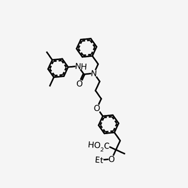 CCOC(C)(Cc1ccc(OCCCN(Cc2ccccc2)C(=O)Nc2cc(C)cc(C)c2)cc1)C(=O)O